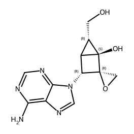 Nc1ncnc2c1ncn2[C@@H]1C2[C@H](CO)[C@]2(O)[C@]12CO2